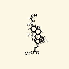 COC(=O)CC[C@H]1C[C@H]2CC3C(CC[C@@H]4C[C@@H](NCCO)CC[C@]34C)C3CCC1[C@]32C